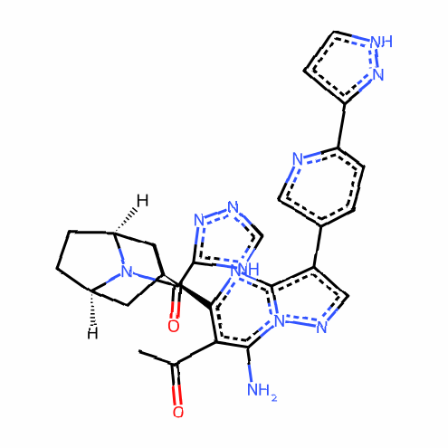 CC(=O)c1c([C@H]2C[C@H]3CC[C@@H](C2)N3C(=O)c2nnc[nH]2)nc2c(-c3ccc(-c4cc[nH]n4)nc3)cnn2c1N